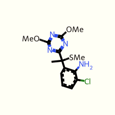 COc1nc(OC)nc(C(C)(SC)c2cccc(Cl)c2N)n1